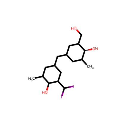 CC1CC(CC2CC(C)[C@H](O)C(CO)C2)CC(C(I)I)C1O